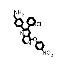 Cl.NCc1ccc(-c2nc3ccnc(Oc4ccc([N+](=O)[O-])cc4)c3cc2-c2ccccc2)cc1